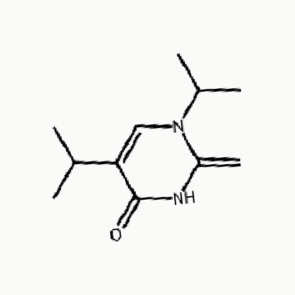 C=C1NC(=O)C(C(C)C)=CN1C(C)C